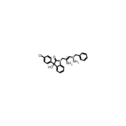 N/C(=C\N(N)Cc1ccccc1)CN1C(=O)C(O)(c2ccc(Cl)cc2)c2ccccc21